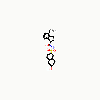 COc1cccc2c1CCC2C(=O)NS(=O)(=O)c1ccc2cc(O)ccc2c1